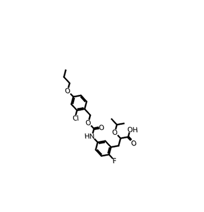 CCCOc1ccc(COC(=O)Nc2ccc(F)c(CC(OC(C)C)C(=O)O)c2)c(Cl)c1